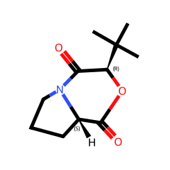 CC(C)(C)[C@H]1OC(=O)[C@@H]2CCCN2C1=O